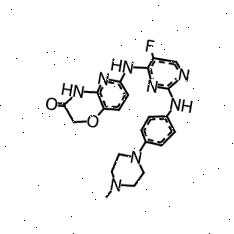 CN1CCN(c2ccc(Nc3ncc(F)c(Nc4ccc5c(n4)NC(=O)CO5)n3)cc2)CC1